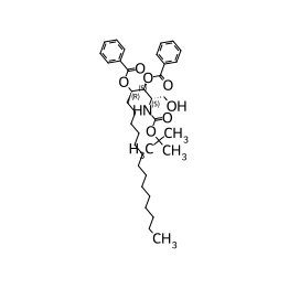 CCCCCCCCCCCCCC[C@@H](OC(=O)c1ccccc1)[C@@H](OC(=O)c1ccccc1)[C@H](CO)NC(=O)OC(C)(C)C